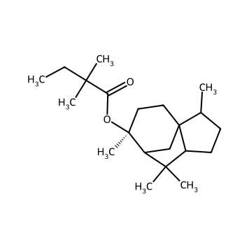 CCC(C)(C)C(=O)O[C@@]1(C)CCC23CC1C(C)(C)C2CCC3C